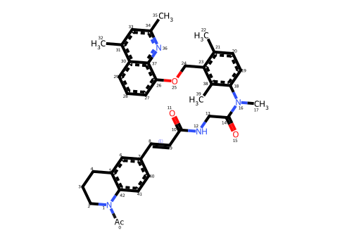 CC(=O)N1CCCc2cc(/C=C/C(=O)NCC(=O)N(C)c3ccc(C)c(COc4cccc5c(C)cc(C)nc45)c3C)ccc21